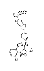 COC(=O)c1cc2ccc(-c3ccc(OCC4C(c5c(Cl)cccc5Cl)=NOC4C4CC4)cc3)cc2cn1